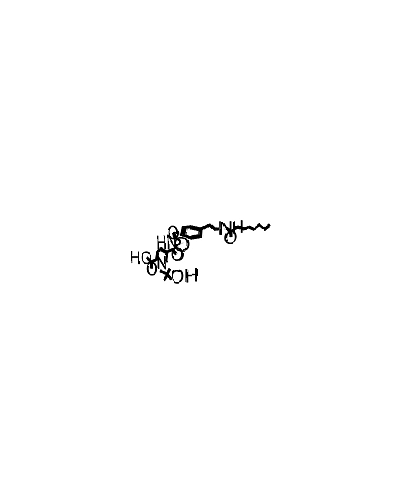 CCCCCCCC(=O)NCCc1ccc(S(=O)(=O)NC(=O)C2=CC=C(C(=O)O)N(CC(C)(C)CO)C2)cc1